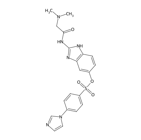 CN(C)CC(=O)Nc1nc2cc(OS(=O)(=O)c3ccc(-n4ccnc4)cc3)ccc2[nH]1